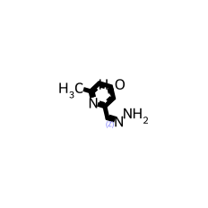 Cc1cccc(/C=N\N)n1.O